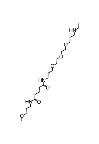 CCNCCCOCCOCCOCCCNC(=O)CCCC(=O)NCCCOC